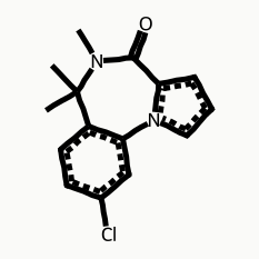 CN1C(=O)c2cccn2-c2cc(Cl)ccc2C1(C)C